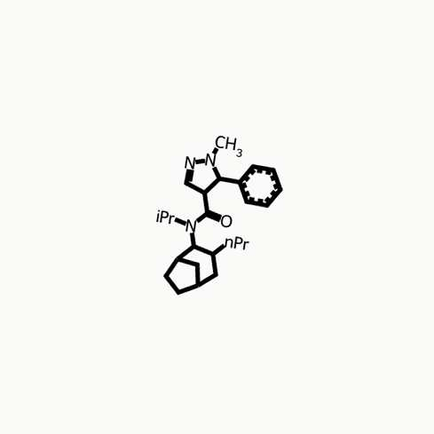 CCCC1CC2CCC(C2)C1N(C(=O)C1C=NN(C)C1c1ccccc1)C(C)C